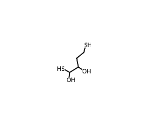 OC(S)C(O)CCS